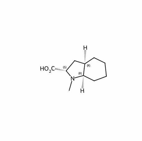 CN1[C@@H]2CCCC[C@@H]2C[C@H]1C(=O)O